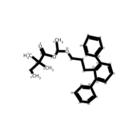 CCC(C)(C)C(=O)OC(C)OCCCc1c(-c2ccccc2)cccc1-c1ccccc1